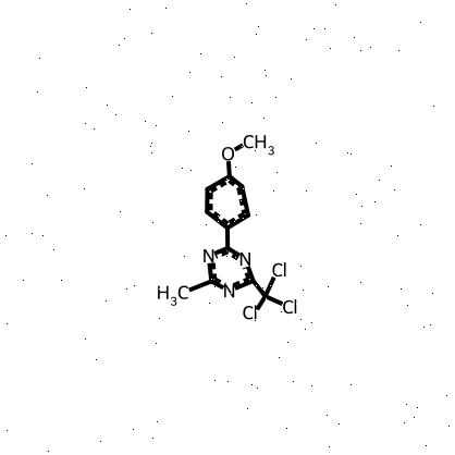 COc1ccc(-c2nc(C)nc(C(Cl)(Cl)Cl)n2)cc1